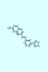 Clc1ccc2ccc(/C=C/c3cccc(C4OCCO4)c3)nc2c1